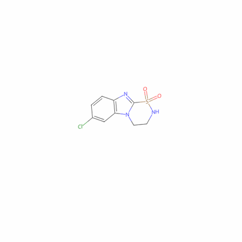 O=S1(=O)NCCn2c1nc1ccc(Cl)cc12